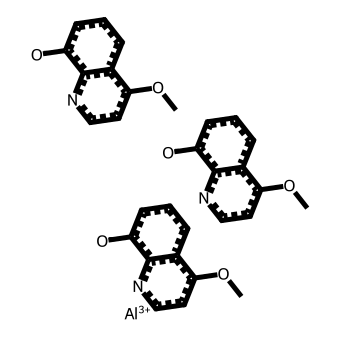 COc1ccnc2c([O-])cccc12.COc1ccnc2c([O-])cccc12.COc1ccnc2c([O-])cccc12.[Al+3]